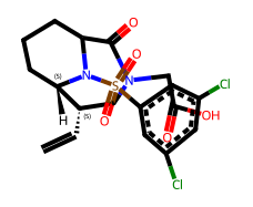 C=C[C@H]1CN(CC(=O)O)C(=O)C2CCC[C@@H]1N2S(=O)(=O)c1cc(Cl)cc(Cl)c1